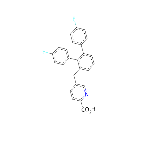 O=C(O)c1ccc(Cc2cccc(-c3ccc(F)cc3)c2-c2ccc(F)cc2)cn1